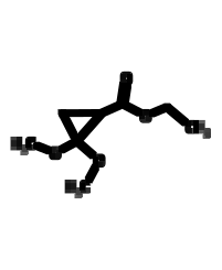 CCOC(=O)C1CC1(OC)OC